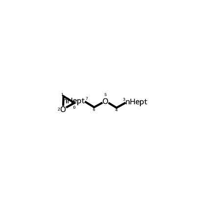 C1CO1.CCCCCCCCOCCCCCCCC